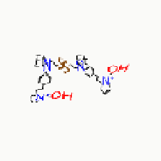 CCN(CCSSCCN(CC)c1ccc(/C=C/c2cccc[n+]2CCO)cc1)c1ccc(/C=C/c2cccc[n+]2CCO)cc1